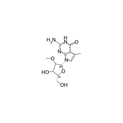 COC1C(O)[C@@H](CO)O[C@H]1n1cc(C)c2c(=O)[nH]c(N)nc21